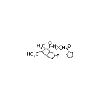 Cc1c(CC(=O)O)cc2ccc(F)cc2c1C(=O)N1CC2(C1)CN([S+]([O-])c1ccccc1)C2